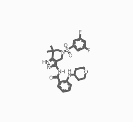 CC1(C)CN(S(=O)(=O)c2cc(F)cc(F)c2)Cc2c(NC(=O)c3ccccc3NC3CCOCC3)n[nH]c21